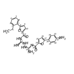 CCc1ccccc1-c1ccc(C(=O)NC(=N)NNC(N)=NC(=O)c2ccc(-c3ccc(N)cc3)o2)o1